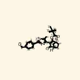 Cc1sc(-c2ccc(C=O)cc2)nc1C1=C(OC(=O)C(C)(C)C)[C@H]2CC[C@H](C2)C1=O